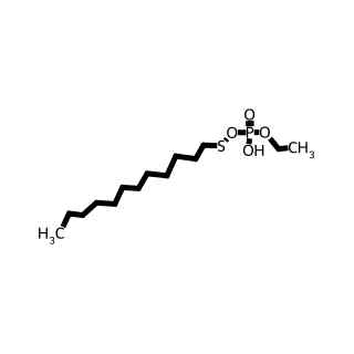 CCCCCCCCCCCCSOP(=O)(O)OCC